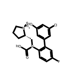 CN1CCC[C@H]1CN(C(=O)O)c1ccc(F)cc1-c1cc(O)cc(Cl)c1